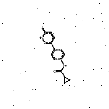 O=C(Nc1ccc(-c2ccc(=O)[nH]n2)cc1)C1CC1